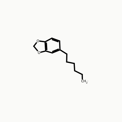 [CH2]CCCCCc1ccc2c(c1)OCO2